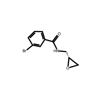 O=C(NC[C@@H]1CO1)c1cccc(Br)c1